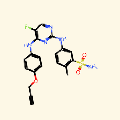 C#CCOc1ccc(Nc2nc(Nc3ccc(C)c(S(N)(=O)=O)c3)ncc2F)cc1